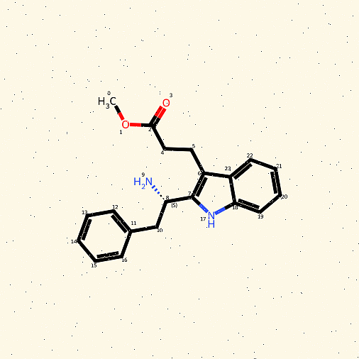 COC(=O)CCc1c([C@@H](N)Cc2ccccc2)[nH]c2ccccc12